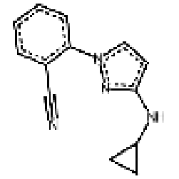 N#Cc1ccccc1-n1ccc(NC2CC2)n1